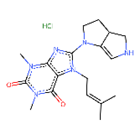 CC(C)=CCn1c(N2CCC3CNC=C32)nc2c1c(=O)n(C)c(=O)n2C.Cl